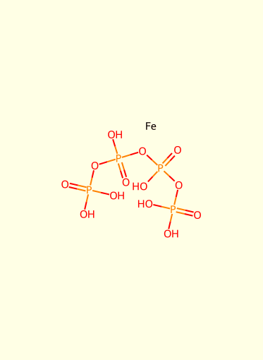 O=P(O)(O)OP(=O)(O)OP(=O)(O)OP(=O)(O)O.[Fe]